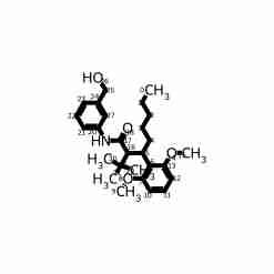 CCCCCC(c1c(OC)cccc1OC)C(C(=O)Nc1cccc(CO)c1)C(C)(C)C